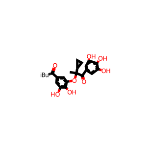 CCC(C)C(=O)c1cc(O)c(O)c(OC(C)(C(=O)c2cc(O)c(O)c(O)c2)C2CC2)c1